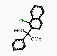 COC(OC)(c1ccccc1)c1ccc2ccccc2c1Cl